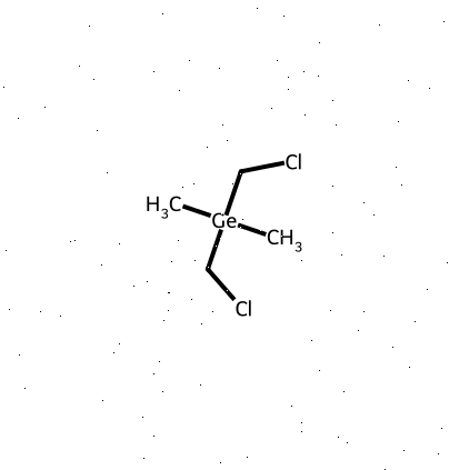 [CH3][Ge]([CH3])([CH2]Cl)[CH2]Cl